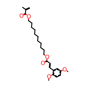 C=C(C)C(=O)OCCCCCCCCCCCOC(=O)C=Cc1cc(OC)ccc1OC